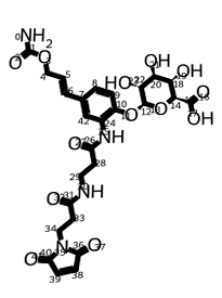 NC(=O)OC/C=C/c1ccc(O[C@@H]2O[C@H](C(=O)O)[C@@H](O)[C@H](O)[C@H]2O)c(NC(=O)CCNC(=O)CCN2C(=O)C=CC2=O)c1